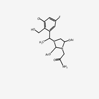 CC(=O)OC1CN(C(C)c2cc(F)cc(Cl)c2CO)C(OC(C)=O)N1CC(N)=O